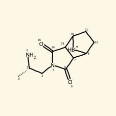 C[C@H](N)CN1C(=O)C2C3BC(CC3)C2C1=O